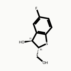 OC[C@H]1Sc2ccc(F)cc2[C@@H]1O